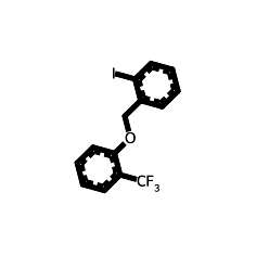 FC(F)(F)c1ccccc1OCc1ccccc1I